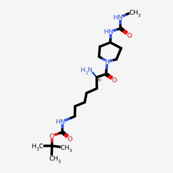 CNC(=O)NC1CCN(C(=O)[C@H](N)CCCCCNC(=O)OC(C)(C)C)CC1